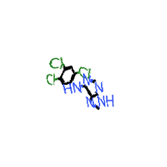 Clc1cc(Cl)c(Nc2ncnc3[nH]cnc23)cc1Cl